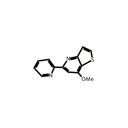 COc1cc(-c2ccccn2)nc2ccsc12